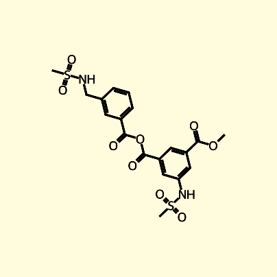 COC(=O)c1cc(NS(C)(=O)=O)cc(C(=O)OC(=O)c2cccc(CNS(C)(=O)=O)c2)c1